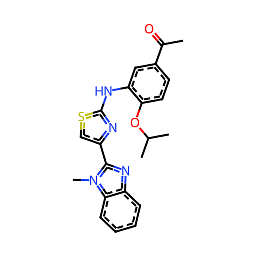 CC(=O)c1ccc(OC(C)C)c(Nc2nc(-c3nc4ccccc4n3C)cs2)c1